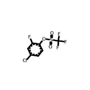 O=S(=O)(Oc1ccc(Cl)cc1F)C(F)(F)F